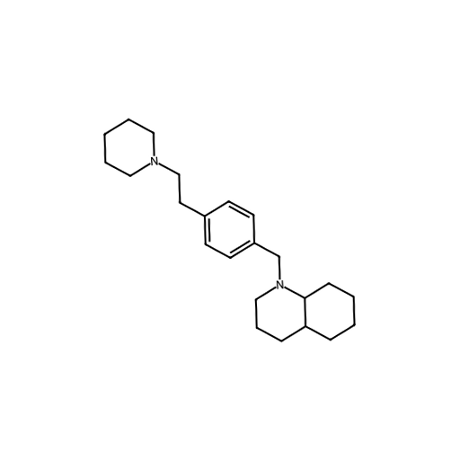 c1cc(CN2CCCC3CCCCC32)ccc1CCN1CCCCC1